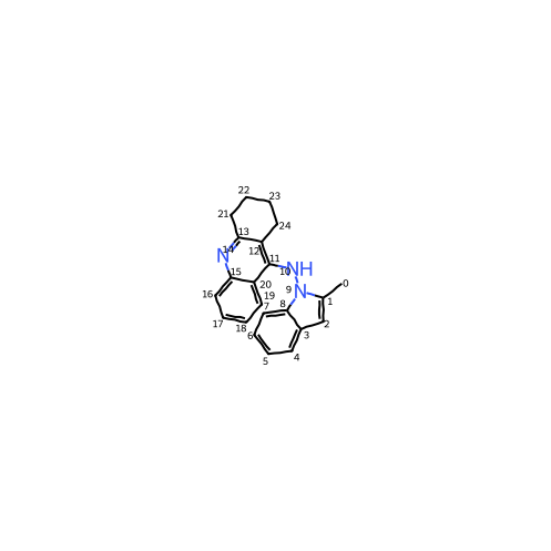 Cc1cc2ccccc2n1Nc1c2c(nc3ccccc13)CCCC2